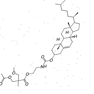 COCC(C)(COC(C)=O)C(=O)OCCNC(=O)OC1CC[C@@]2(C)C(=CC[C@@H]3[C@@H]2CC[C@]2(C)C([C@H](C)CCCC(C)C)CC[C@@H]32)C1